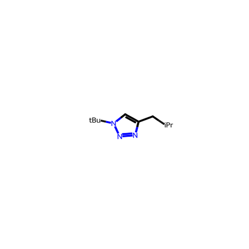 CC(C)Cc1cn(C(C)(C)C)nn1